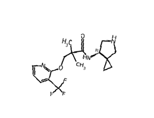 CC(C)(COc1ncccc1C(F)(F)F)C(=O)N[C@H]1CNCC12CC2